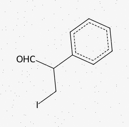 O=CC(CI)c1ccccc1